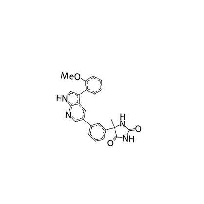 COc1ccccc1-c1c[nH]c2ncc(-c3cccc(C4(C)NC(=O)NC4=O)c3)cc12